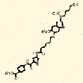 COC(=O)c1ccc(NC(=O)c2cc(NC(=O)CCCCCOC3CC(/N=C\CN(C=O)CCCCS)=C(C)C=C3OC)cn2C)cc1